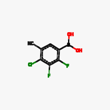 N#Cc1cc(B(O)O)c(F)c(F)c1Cl